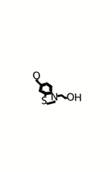 O=Cc1ccc2c(c1)SCCN2CCO